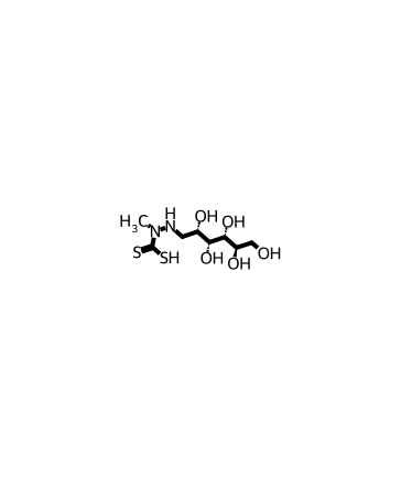 CN(NC[C@H](O)[C@@H](O)[C@H](O)[C@H](O)CO)C(=S)S